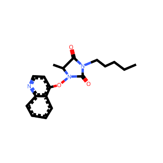 CCCCCN1C(=O)C(C)N(Oc2ccnc3ccccc23)C1=O